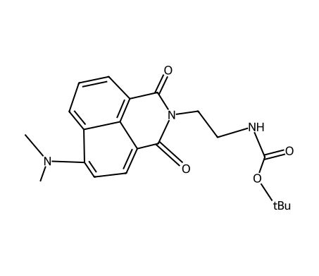 CN(C)c1ccc2c3c(cccc13)C(=O)N(CCNC(=O)OC(C)(C)C)C2=O